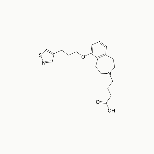 O=C(O)CCCN1CCc2cccc(OCCCc3cnsc3)c2CC1